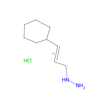 Cl.NNC/C=C/C1CCCCC1